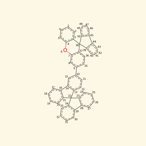 c1ccc2c(c1)Oc1cc(-c3ccc4c(c3)-c3ccccc3C43c4ccccc4-c4ccccc43)ccc1C21c2ccccc2-c2ccccc21